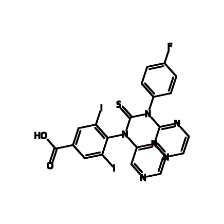 O=C(O)c1cc(I)c(N(C(=S)N(c2ccc(F)cc2)c2cnccn2)c2cnccn2)c(I)c1